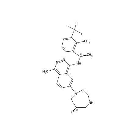 Cc1c([C@@H](C)Nc2nnc(C)c3ccc(N4CCNC[C@@H](F)C4)cc23)cccc1C(F)(F)F